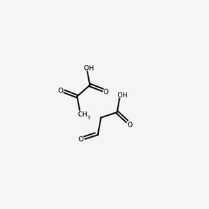 CC(=O)C(=O)O.O=CCC(=O)O